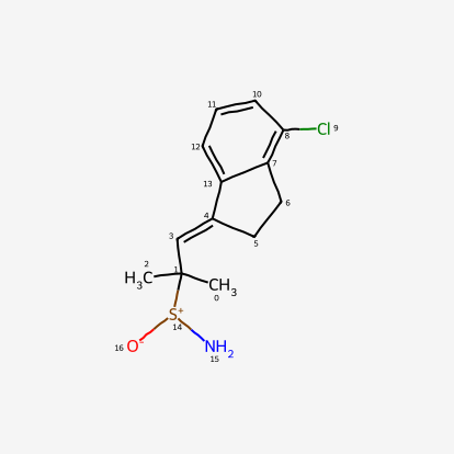 CC(C)(C=C1CCc2c(Cl)cccc21)[S+](N)[O-]